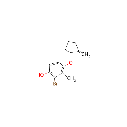 C=C1CCCC1Oc1ccc(O)c(Br)c1C